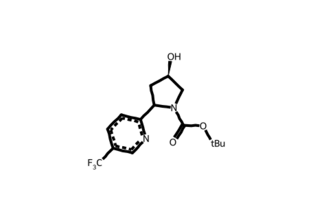 CC(C)(C)OC(=O)N1C[C@H](O)CC1c1ccc(C(F)(F)F)cn1